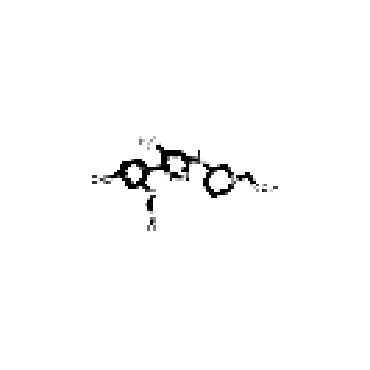 CCOCOc1cc(C=O)ccc1-c1nnc(NC2CCCN(CC(=O)O)C2)cc1C